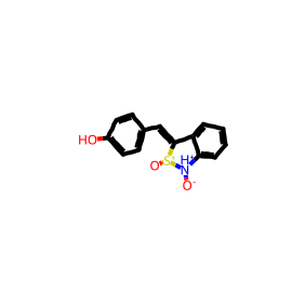 [O-][NH+]1c2ccccc2C(=Cc2ccc(O)cc2)[S+]1[O-]